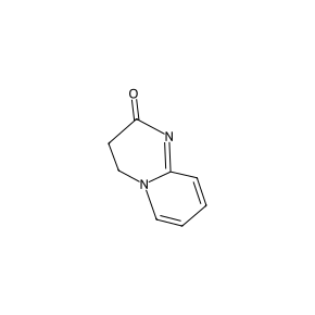 O=C1CCN2C=CC=CC2=N1